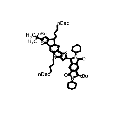 CCCCCCCCCCCCCCC1c2cc3c4sc(C5=c6cc7c(cc6C(=O)N5C5CCCCC5)=C(C(C)(C)C)N(C5CCCCC5)C7=O)cc4n(CCCCCCCCCCCCCC)c3cc2-c2sc(C(C)(C)CCCC)cc21